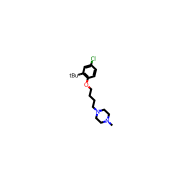 CN1CCN(CCCCOc2ccc(Cl)cc2C(C)(C)C)CC1